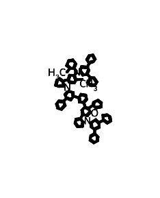 CCc1ccccc1N(c1cc(-c2ccccc2)cc(-c2ccccc2)c1)c1cc2c3ccccc3n(-c3cc(-c4ccccc4)cc(-c4cccc(-c5cc6c7ccccc7n(-c7cc(-c8ccccc8)cc(-c8ccccc8)c7)c6c6oc7ccccc7c56)c4)c3)c2cc1CC